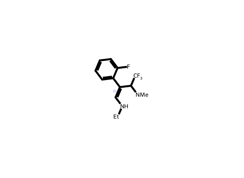 CCN/C=C(/c1ccccc1F)C(NC)C(F)(F)F